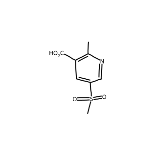 Cc1ncc(S(C)(=O)=O)cc1C(=O)O